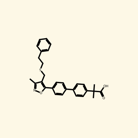 Cc1noc(-c2ccc(-c3ccc(C(C)(C)C(=O)O)cc3)cc2)c1CSCCc1ccccc1